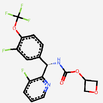 O=C(N[C@@H](c1ccc(OC(F)(F)F)c(F)c1)c1ncccc1F)OC1COC1